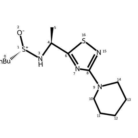 CCCC[S@+]([O-])N[C@@H](C)c1nc(N2CCCCC2)ns1